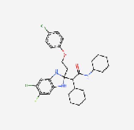 O=C(NC1CCCCC1)C(C1CCCCC1)C1(CCOc2ccc(Cl)cc2)Nc2cc(F)c(Cl)cc2N1